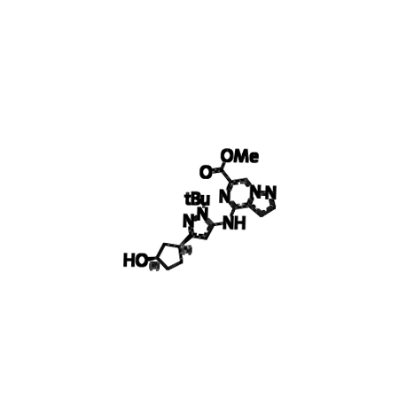 COC(=O)c1cn2nccc2c(Nc2cc([C@H]3CC[C@@H](O)C3)nn2C(C)(C)C)n1